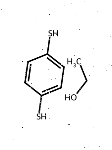 CCO.Sc1ccc(S)cc1